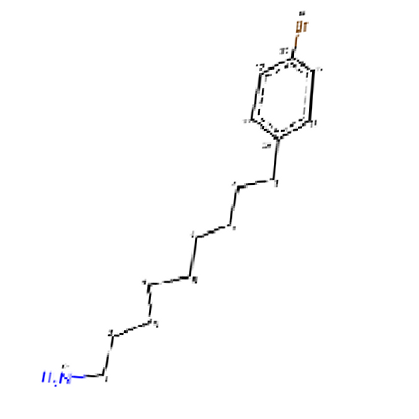 NCCCCCCCCCc1ccc(Br)cc1